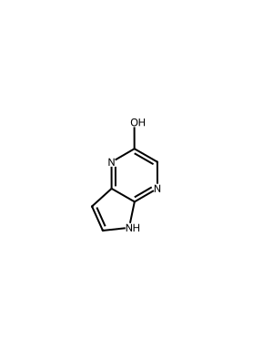 Oc1cnc2[nH]ccc2n1